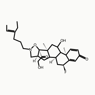 C/C=C(\CC)CCCN1C[C@@H]2CC3[C@@H]4C[C@H](F)C5=CC(=O)C=C[C@]5(C)C4C(O)C[C@]3(C)[C@]2(C(=O)CO)O1